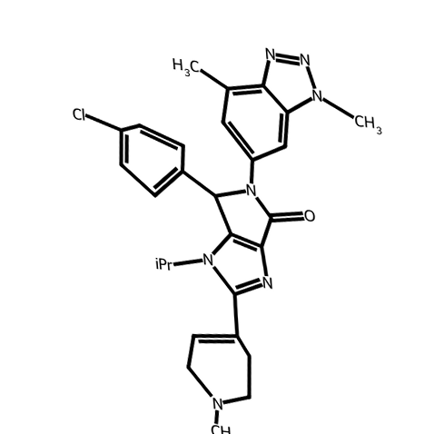 Cc1cc(N2C(=O)c3nc(C4=CCN(C)CC4)n(C(C)C)c3C2c2ccc(Cl)cc2)cc2c1nnn2C